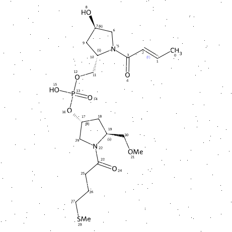 C/C=C/C(=O)N1C[C@H](O)C[C@H]1COP(=O)(O)O[C@@H]1C[C@@H](COC)N(C(=O)CCCSC)C1